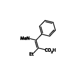 CCC(C(=O)O)=C(NC)c1ccccc1